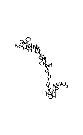 CC(=O)c1c(C)c2cnc(Nc3ccc(N4CCN(CC(=O)NCCOCCOCCOCCCNc5ccccc5C(=O)Nc5nc(C)c([N+](=O)[O-])s5)CC4)cn3)nc2n(C2CCCC2)c1=O